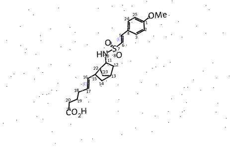 COc1ccc(/C=C/S(=O)(=O)NC2CC3CC(/C=C/CCCC(=O)O)C2C3)cc1